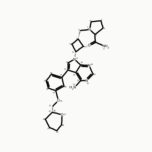 NC(=O)C1CCCN1C[C@H]1C[C@@H](n2cc(-c3cccc(OC[C@H]4CCCCO4)c3)c3c(N)ncnc32)C1